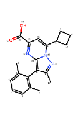 Cc1cccc(C)c1-c1c(C)nn2c(C3CCC3)cc(C(=O)O)nc12